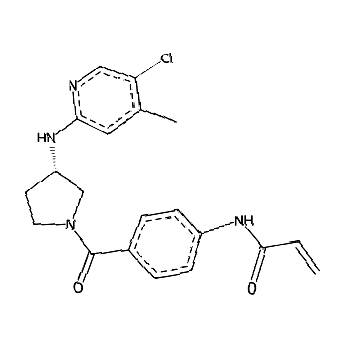 C=CC(=O)Nc1ccc(C(=O)N2CC[C@H](Nc3cc(C)c(Cl)cn3)C2)cc1